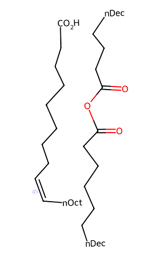 CCCCCCCC/C=C\CCCCCCCC(=O)O.CCCCCCCCCCCCCCCC(=O)OC(=O)CCCCCCCCCCCCC